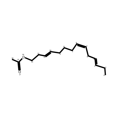 CC/C=C/C/C=C\CCC/C=C/CCOC(C)=O